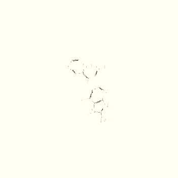 Cn1c(Br)nc2ncc(O/C(C=N)=C3\C=NC=CN3)c(Cl)c21